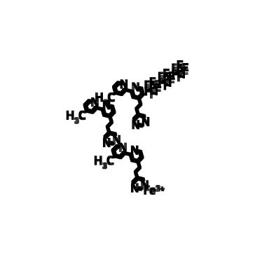 Cc1ccnc(-c2cc(CCc3cncnc3)ccn2)c1.Cc1ccnc(-c2cc(CCc3cncnc3)ccn2)c1.Cc1ccnc(-c2cc(CCc3cncnc3)ccn2)c1.F[P-](F)(F)(F)(F)F.F[P-](F)(F)(F)(F)F.F[P-](F)(F)(F)(F)F.[Fe+3]